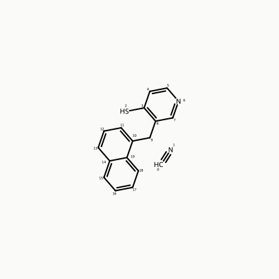 C#N.Sc1ccncc1Cc1cccc2ccccc12